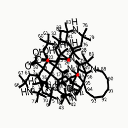 CC(C)(C)CC(C)(C)N=c1nc2nc([nH]1)C1(N=C(C(=O)O)C(C(=O)O)(C3CC(C)(C)NC(C)(C)C3)C(C(=O)O)(C3CC(C)(C)NC(C)(C)C3)C(C(=O)O)(C3CC(C)(C)NC(C)(C)C3)C3CC(C)(C)NC(C)(C)C3)C(=NC3CC(C)(C)NC(C)(C)C3)C(C)(C)N3CCCCCCC21C3(C)C